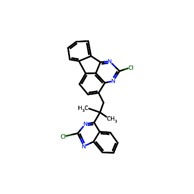 CC(C)(Cc1ccc2c3c(nc(Cl)nc13)-c1ccccc1-2)c1nc(Cl)nc2ccccc12